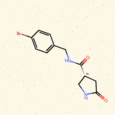 O=C1C[C@@H](C(=O)NCc2ccc(Br)cc2)CN1